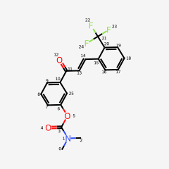 CN(C)C(=O)Oc1cccc(C(=O)C=Cc2ccccc2C(F)(F)F)c1